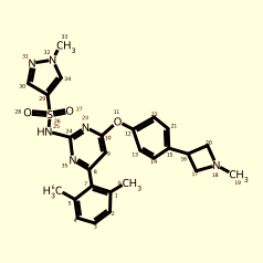 Cc1cccc(C)c1-c1cc(Oc2ccc(C3CN(C)C3)cc2)nc(NS(=O)(=O)c2cnn(C)c2)n1